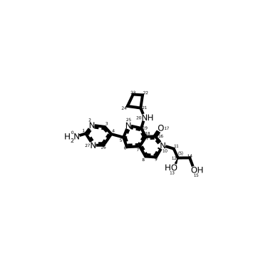 Nc1ncc(-c2cc3ccn(C[C@H](O)CO)c(=O)c3c(NC3CCC3)n2)cn1